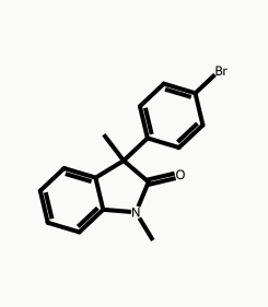 CN1C(=O)C(C)(c2ccc(Br)cc2)c2ccccc21